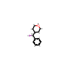 I[C@H](c1ccccc1)C1CCOCC1